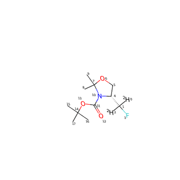 [2H]C([2H])(F)[C@H]1COC(C)(C)N1C(=O)OC(C)(C)C